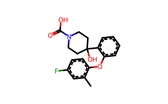 Cc1cc(F)ccc1Oc1ccccc1C1(O)CCN(C(=O)O)CC1